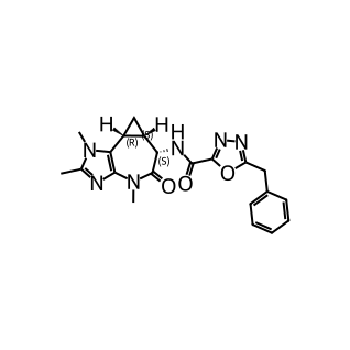 Cc1nc2c(n1C)[C@@H]1C[C@@H]1[C@H](NC(=O)c1nnc(Cc3ccccc3)o1)C(=O)N2C